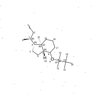 C[C@@H](CI)[C@H]1CC[C@H]2C(O[Si](C)(C)C(C)(C)C)CCC[C@]12C